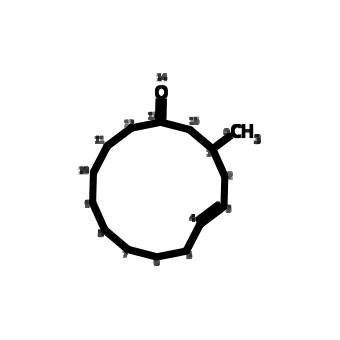 CC1C/C=C/CCCCCCCCC(=O)C1